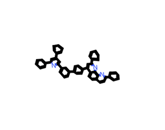 c1ccc(-c2cc(-c3ccccc3)nc(-c3cccc(-c4ccc(-c5cc(-c6ccccc6)nc6c5ccc5ccc(-c7ccccc7)nc56)cc4)c3)c2)cc1